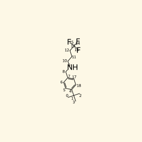 CC(C)(C)c1ccc(CNCCCC(F)(F)F)cc1